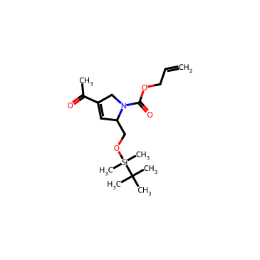 C=CCOC(=O)N1CC(C(C)=O)=CC1CO[Si](C)(C)C(C)(C)C